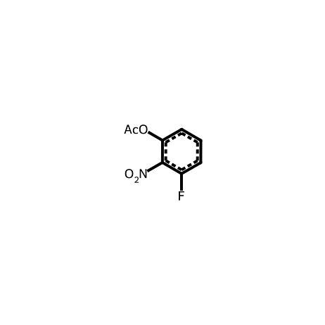 CC(=O)Oc1cccc(F)c1[N+](=O)[O-]